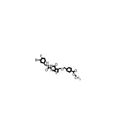 CCOC(=O)c1ccc(COCc2csc3nc(C(=O)NCc4ccc(F)c(Br)c4)[nH]c(=O)c23)cc1